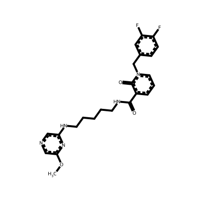 COc1cncc(NCCCCCNC(=O)c2cccn(Cc3ccc(F)c(F)c3)c2=O)n1